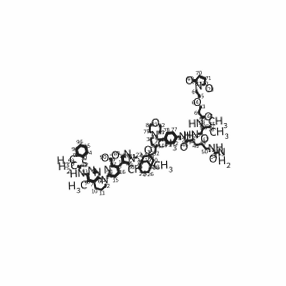 C=C(Nc1nnc2c(c1C)CCCN2c1ccc(-c2cnn(C[C@@]34CCC[C@@](C)(C3)C[C@@](CCC)(OCC[N+]3(Cc5ccc(NC(=O)[C@H](CCCNC(N)=O)NC(=O)[C@@H](NC(=O)CCOCCN6C(=O)C=CC6=O)C(C)C)cc5)CCOCC3)C4)c2C)c(C(=O)[O-])n1)Sc1ccccc1C